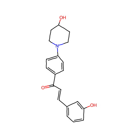 O=C(C=Cc1cccc(O)c1)c1ccc(N2CCC(O)CC2)cc1